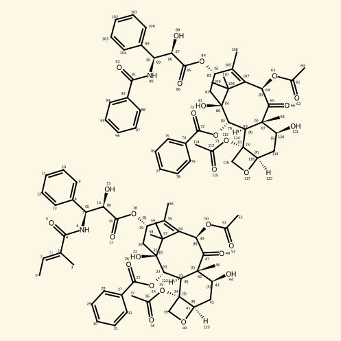 C/C=C(\C)C(=O)N[C@@H](c1ccccc1)[C@@H](O)C(=O)O[C@H]1C[C@@]2(O)[C@@H](OC(=O)c3ccccc3)[C@@H]3[C@]4(OC(C)=O)CO[C@@H]4C[C@H](O)[C@@]3(C)C(=O)[C@H](OC(C)=O)C(=C1C)C2(C)C.CC(=O)O[C@H]1C(=O)[C@@]2(C)[C@H]([C@H](OC(=O)c3ccccc3)[C@]3(O)C[C@H](OC(=O)[C@H](O)[C@@H](NC(=O)c4ccccc4)c4ccccc4)C(C)=C1C3(C)C)[C@]1(OC(C)=O)CO[C@@H]1C[C@@H]2O